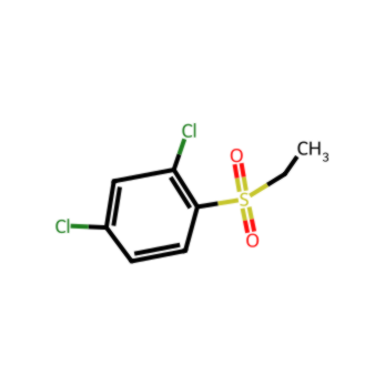 CCS(=O)(=O)c1ccc(Cl)cc1Cl